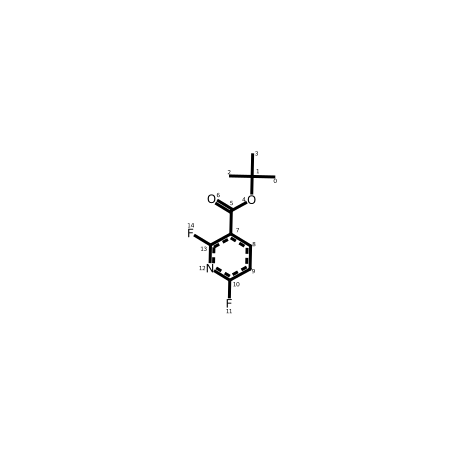 CC(C)(C)OC(=O)c1ccc(F)nc1F